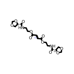 O=C(/C=C/C(=O)OCCNC(=O)[C@@H]1COCO1)OCCNC(=O)[C@@H]1COCO1